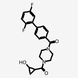 O=C(c1ccc(-c2cc(F)ccc2F)cc1)N1CCN(C(=O)C2CC2O)CC1